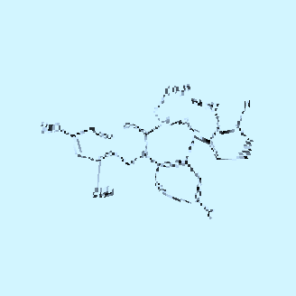 CCc1cccc([C@@H]2O[C@@H](CC(=O)O)C(=O)N(Cc3ccc(OC)cc3OC)c3ccc(Cl)cc32)c1OC